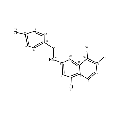 Cc1ccc2c(Cl)cc(NCc3ccc(Cl)cc3)nc2c1F